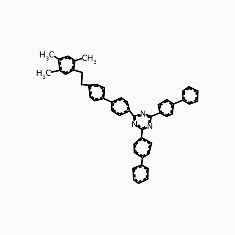 Cc1cc(C)c(CCc2ccc(-c3ccc(-c4nc(-c5ccc(-c6ccccc6)cc5)nc(-c5ccc(-c6ccccc6)cc5)n4)cc3)cc2)cc1C